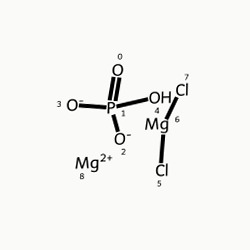 O=P([O-])([O-])O.[Cl][Mg][Cl].[Mg+2]